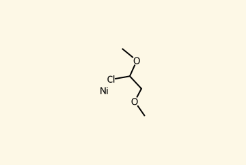 COCC(Cl)OC.[Ni]